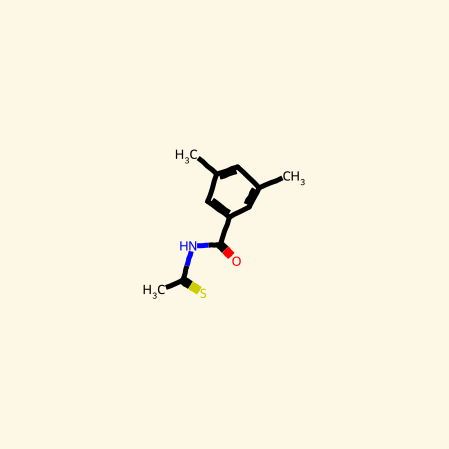 CC(=S)NC(=O)c1cc(C)cc(C)c1